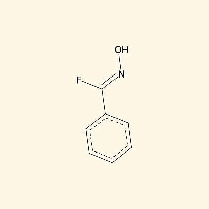 ON=C(F)c1ccccc1